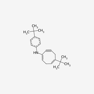 CC(C)(C)/C1=C/C/C=C(/Nc2ccc(C(C)(C)C)cc2)C#CC1